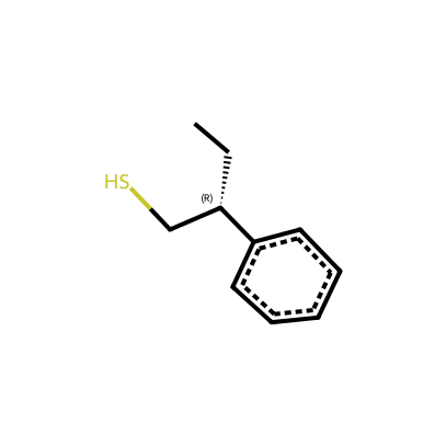 CC[C@@H](CS)c1ccccc1